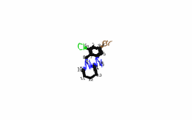 Clc1cc(Br)cc2c1CN1CCCCC1=N2